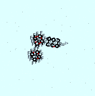 Fc1c(F)c(F)c([B-](c2c(F)c(F)c(F)c(F)c2F)(c2c(F)c(F)c(F)c(F)c2F)c2c(F)c(F)c(F)c(F)c2F)c(F)c1F.Fc1c(F)c(F)c([B-](c2c(F)c(F)c(F)c(F)c2F)(c2c(F)c(F)c(F)c(F)c2F)c2c(F)c(F)c(F)c(F)c2F)c(F)c1F.[Ru+2].c1ccc(-c2ccccn2)nc1.c1ccc(-c2ccccn2)nc1.c1ccc(-c2ccccn2)nc1